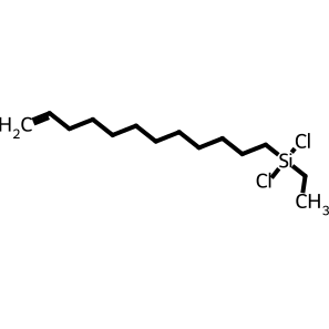 C=CCCCCCCCCCC[Si](Cl)(Cl)CC